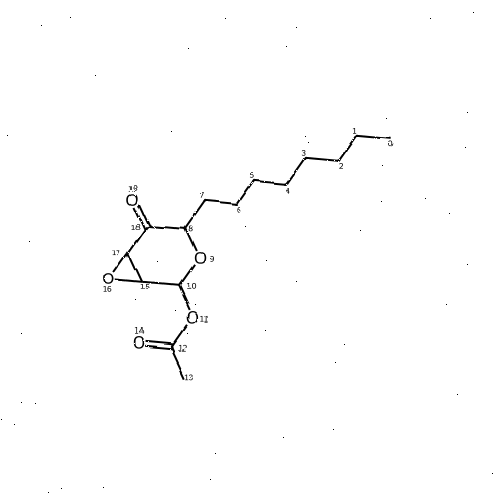 CCCCCCCCC1OC(OC(C)=O)C2OC2C1=O